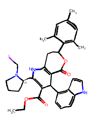 CCOC(=O)C1=C([C@H]2CCCN2CI)NC2=C(C(=O)OC(c3c(C)cc(C)cc3C)C2)C1c1cccc2[nH]ccc12